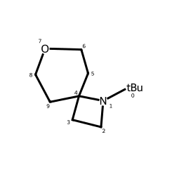 CC(C)(C)N1CCC12CCOCC2